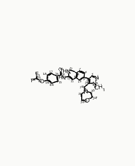 Cn1ncc(-c2ccc3c(c2)C=C(NC(=O)c2ccc(OC(F)F)cc2)NC3)c1CN1CCOCC1